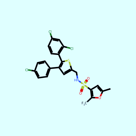 Cc1cc(S(=O)(=O)NCc2cc(-c3ccc(Cl)cc3)c(-c3ccc(Cl)cc3Cl)s2)c(C(F)(F)F)o1